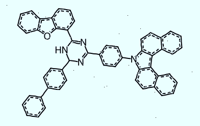 c1ccc(-c2ccc(C3N=C(c4ccc(-n5c6ccc7ccccc7c6c6c7ccccc7ccc65)cc4)N=C(c4cccc5c4oc4ccccc45)N3)cc2)cc1